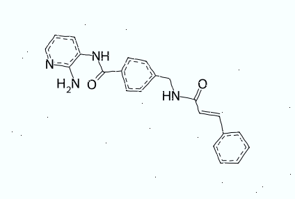 Nc1ncccc1NC(=O)c1ccc(CNC(=O)/C=C/c2ccccc2)cc1